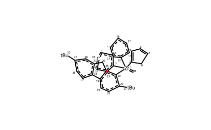 [CH2]=[Zr]([C]1=CC=CC1)([c]1ccccc1)([c]1ccccc1)[c]1c(C(C)(C)C)ccc2c1Cc1cc(C(C)(C)C)ccc1-2